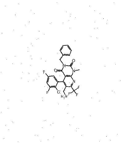 Cn1c(=O)n(Cc2ccccc2)c(=O)c2c(-c3cc(F)cc(F)c3Cl)c(CN)c(C(F)(F)F)nc21